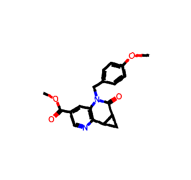 COC(=O)c1cnc2c(c1)N(Cc1ccc(OC)cc1)C(=O)C1CC21